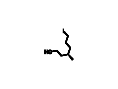 C[C@@H](CCO)CCCI